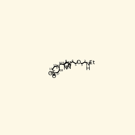 CCNCCOCCn1cc(CN2CCS(=O)(=O)CC2)nn1